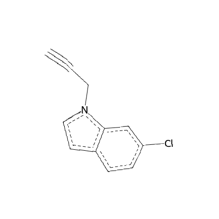 C#CCn1ccc2ccc(Cl)cc21